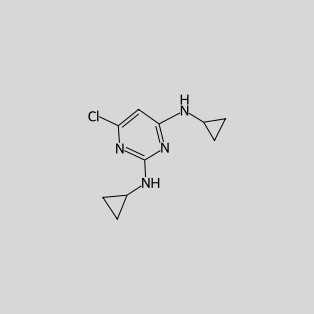 Clc1cc(NC2CC2)nc(NC2CC2)n1